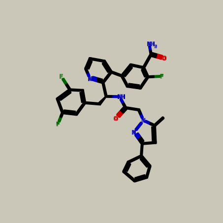 Cc1cc(-c2ccccc2)nn1CC(=O)N[C@@H](Cc1cc(F)cc(F)c1)c1ncccc1-c1ccc(F)c(C(N)=O)c1